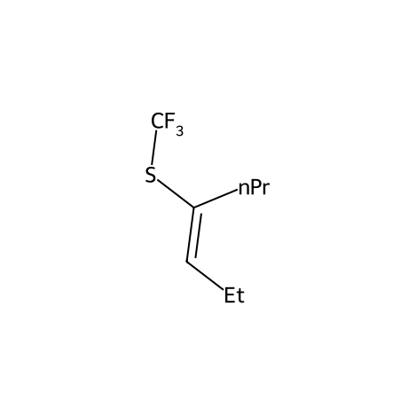 CC/C=C(\CCC)SC(F)(F)F